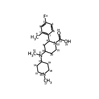 Cc1cc(F)ccc1C1CC(N(C)C2CCN(C)CC2)CCN1C(=O)O